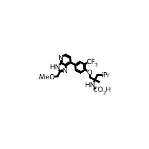 COCc1nc2c(-c3ccc(OCC(C)(CC(C)C)NC(=O)O)c(C(F)(F)F)c3)ccnc2[nH]1